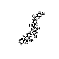 CC(C)(C)OC(=O)N1C(c2ccc(-n3c(Cl)cc4c(=O)n(CC5(O)CCN(C(=O)c6ccc(Cl)cc6)CC5)cnc43)cc2)COC2CCCCC21